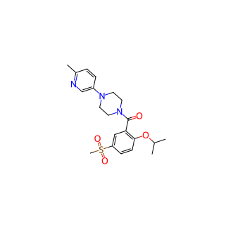 Cc1ccc(N2CCN(C(=O)c3cc(S(C)(=O)=O)ccc3OC(C)C)CC2)cn1